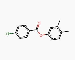 Cc1ccc(OC(=O)c2ccc(Cl)cc2)cc1C